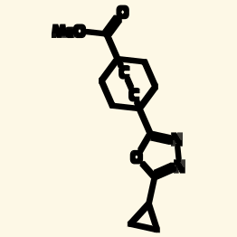 COC(=O)C12CCC(c3nnc(C4CC4)o3)(CC1)CC2